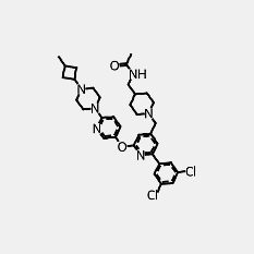 CC(=O)NCC1CCN(Cc2cc(Oc3ccc(N4CCN(C5CC(C)C5)CC4)nc3)nc(-c3cc(Cl)cc(Cl)c3)c2)CC1